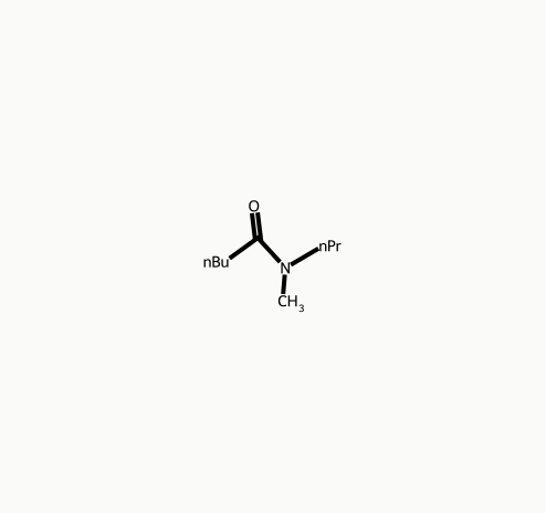 [CH2]CCCC(=O)N(C)CCC